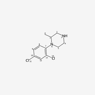 CC1CNCCN1c1ccc(Cl)cc1Cl